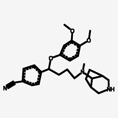 COc1ccc(OC(CCCN(C)C2C3CCC2CNC3)c2ccc(C#N)cc2)cc1OC